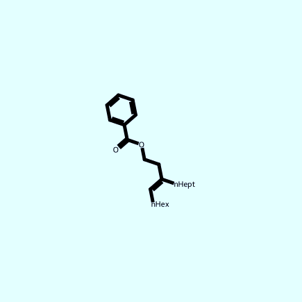 CCCCCCC=C(CCCCCCC)CCOC(=O)c1ccccc1